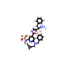 CC1CC1CN(Cc1ccccc1)c1cc(-c2ncc([C@](C)(N)Cc3ccccc3)o2)cc(N(C)S(C)(=O)=O)n1